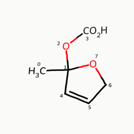 CC1(OC(=O)O)C=CCO1